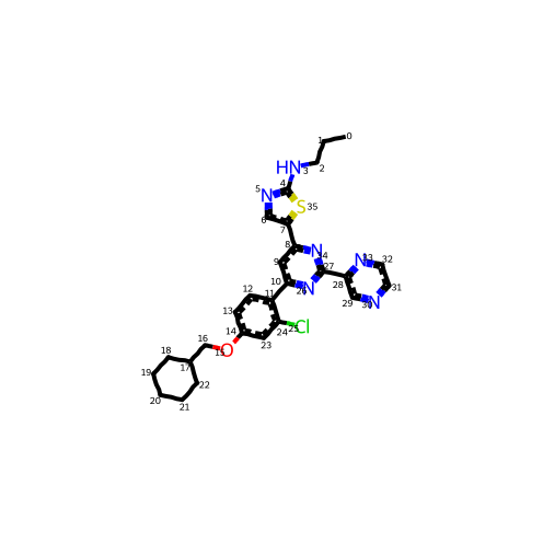 CCCNc1ncc(-c2cc(-c3ccc(OCC4CCCCC4)cc3Cl)nc(-c3cnccn3)n2)s1